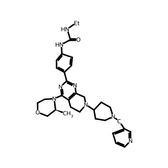 CCNC(=O)Nc1ccc(-c2nc3c(c(N4CCOC[C@@H]4C)n2)CCN(C2CCN(Cc4cccnc4)CC2)C3)cc1